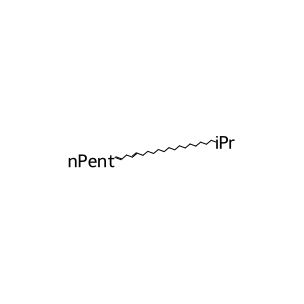 CCCCCC=CCC=CCCCCCCCCCCCCCCC(C)C